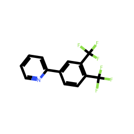 FC(F)(F)c1ccc(-c2c[c]ccn2)cc1C(F)(F)F